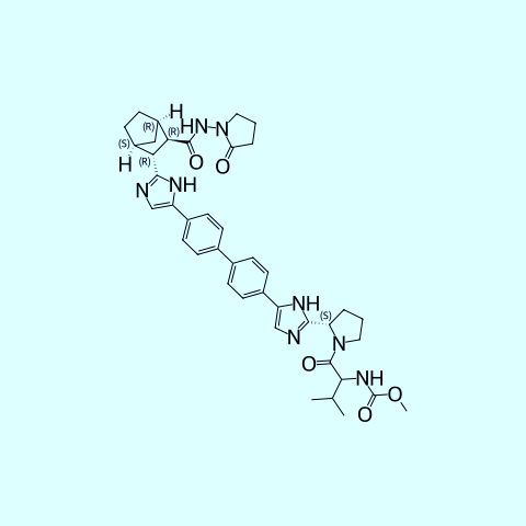 COC(=O)NC(C(=O)N1CCC[C@H]1c1ncc(-c2ccc(-c3ccc(-c4cnc([C@@H]5[C@H]6CC[C@H](C6)[C@H]5C(=O)NN5CCCC5=O)[nH]4)cc3)cc2)[nH]1)C(C)C